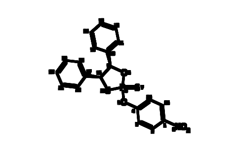 O=[N+]([O-])c1ccc(OP2(=S)O[C@H](c3ccccc3)[C@H](c3ccccc3)S2)cc1